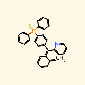 C/C=c1/cccc/c1=C(\c1ccc(P(=S)(c2ccccc2)c2ccccc2)cc1)c1ccccn1